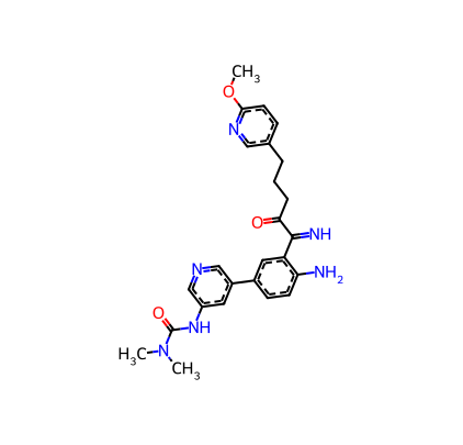 COc1ccc(CCCC(=O)C(=N)c2cc(-c3cncc(NC(=O)N(C)C)c3)ccc2N)cn1